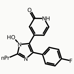 CCCc1nc(-c2ccc(F)cc2)c(-c2cc[nH]c(=O)c2)n1O